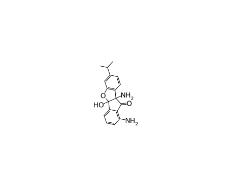 CC(C)c1ccc2c(c1)OC1(O)c3cccc(N)c3C(=O)C21N